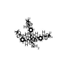 CC(C)(C)OC(=O)Nc1cccc(NC(=O)CC(CC(=O)Nc2cccc(NC(=O)OC(C)(C)C)c2)(CC(=O)Nc2cccc(NC(=O)OC(C)(C)C)c2)NC(=O)CN)c1